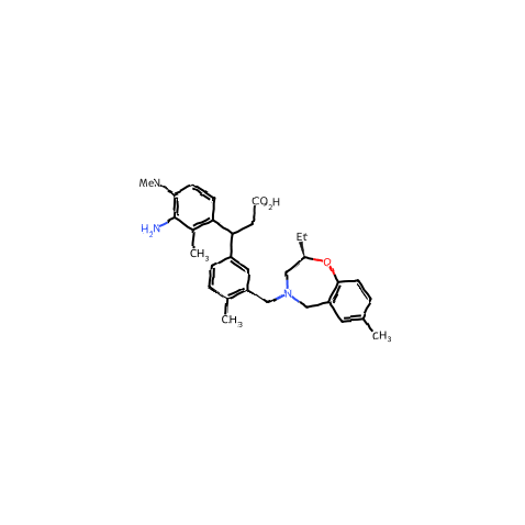 CC[C@@H]1CN(Cc2cc(C(CC(=O)O)c3ccc(NC)c(N)c3C)ccc2C)Cc2cc(C)ccc2O1